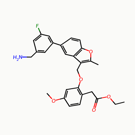 CCOC(=O)Cc1ccc(OC)cc1OCc1c(C)oc2ccc(-c3cc(F)cc(CN)c3)cc12